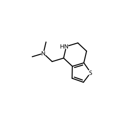 CN(C)CC1NCCc2sccc21